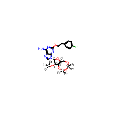 CC[Si](CC)(CC)O[C@@H]1[C@@H]2O[Si](C(C)C)(C(C)C)O[Si](C(C)C)(C(C)C)OC[C@H]2O[C@H]1n1cnc2c(N)nc(OCCc3ccc(Cl)cc3)nc21